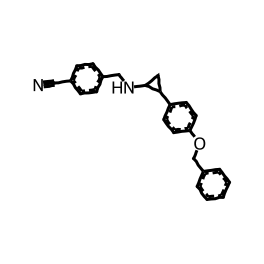 N#Cc1ccc(CNC2CC2c2ccc(OCc3ccccc3)cc2)cc1